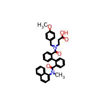 COc1ccc(CN(CCC(=O)O)C(=O)c2ccccc2-c2ccccc2C(=O)N(C)c2cccc3ccccc23)cc1